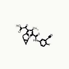 Cc1c(C(=O)C(=O)O)c2n(c1C(=O)Nc1ccc(F)c(C#N)c1)C1CC1C2